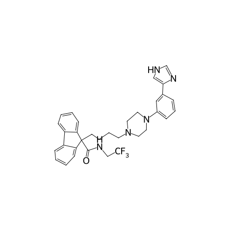 O=C(NCC(F)(F)F)C1(CCCCN2CCN(c3cccc(-c4c[nH]cn4)c3)CC2)c2ccccc2-c2ccccc21